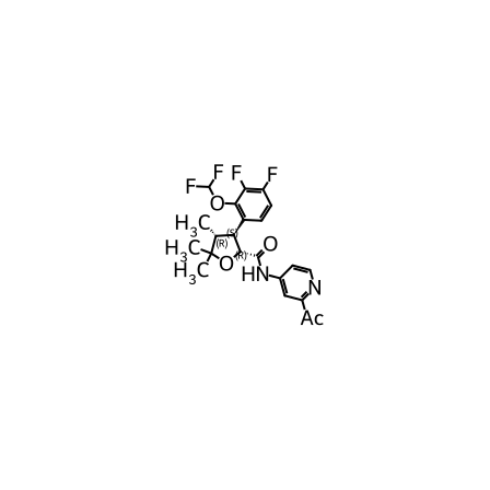 CC(=O)c1cc(NC(=O)[C@@H]2OC(C)(C)[C@H](C)[C@H]2c2ccc(F)c(F)c2OC(F)F)ccn1